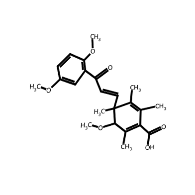 COc1ccc(OC)c(C(=O)C=CC2(C)C(C)=C(C)C(C(=O)O)=C(C)C2OC)c1